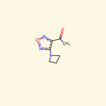 CC(=O)c1nonc1N1CCC1